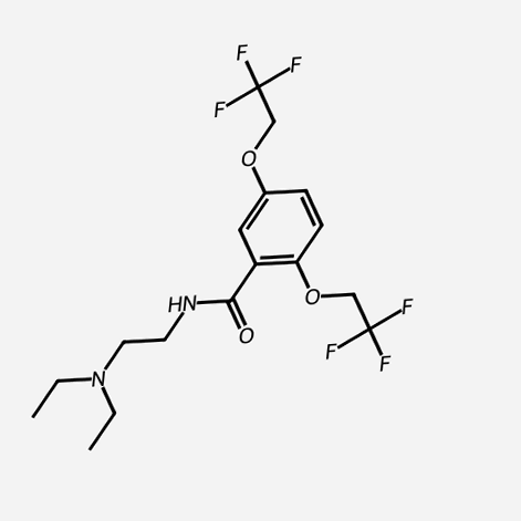 CCN(CC)CCNC(=O)c1cc(OCC(F)(F)F)ccc1OCC(F)(F)F